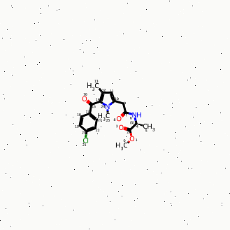 COC(=O)[C@H](C)NC(=O)Cc1cc(C)c(C(=O)c2ccc(Cl)cc2)n1C